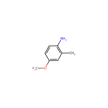 Cc1cc(OC(F)(F)F)ccc1N